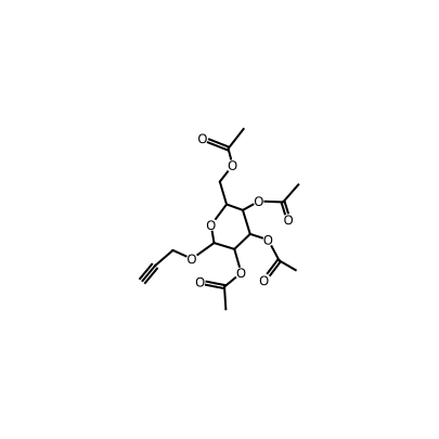 C#CCOC1OC(COC(C)=O)C(OC(C)=O)C(OC(C)=O)C1OC(C)=O